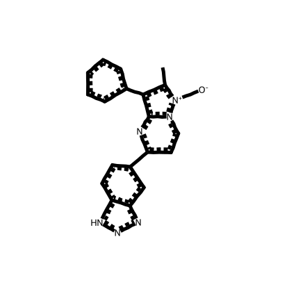 Cc1c(-c2ccccc2)c2nc(-c3ccc4[nH]nnc4c3)ccn2[n+]1[O-]